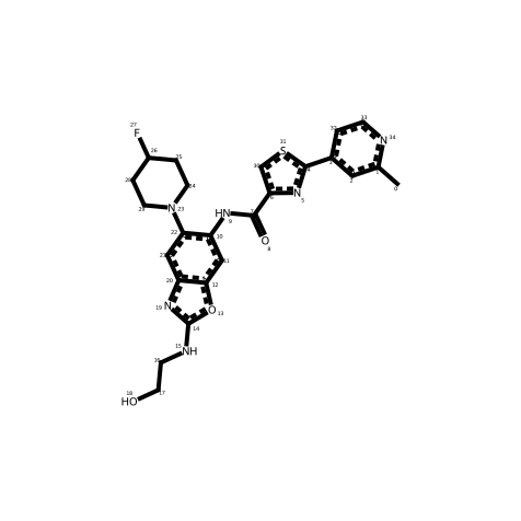 Cc1cc(-c2nc(C(=O)Nc3cc4oc(NCCO)nc4cc3N3CCC(F)CC3)cs2)ccn1